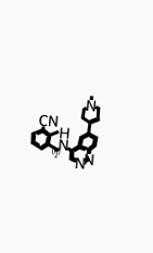 Cc1c(C#N)cccc1[C@@H](C)Nc1cnnc2ccc(C3=CCN(C)CC3)cc12